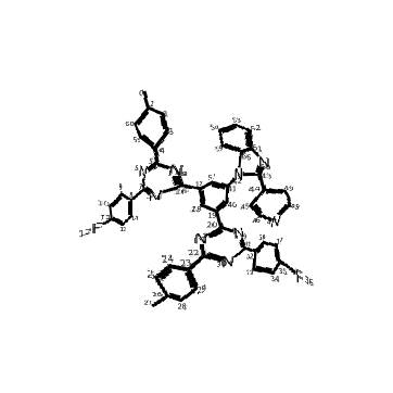 Cc1ccc(-c2nc(-c3ccc(F)cc3)nc(-c3cc(-c4nc(-c5ccc(C)cc5)nc(-c5ccc(F)cc5)n4)cc(-n4c(-c5ccncc5)nc5ccccc54)c3)n2)cc1